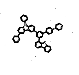 c1ccc(-c2ccc(-c3cc(-c4ccc5c(c4)c4cc(-c6ccccc6)ccc4n5-c4ccccc4)cc(-c4cccc5c4sc4ccccc45)c3)cc2)cc1